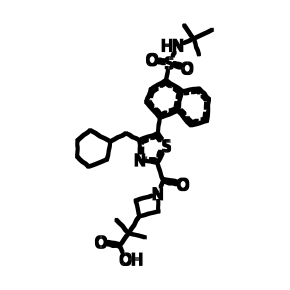 CC(C)(C)NS(=O)(=O)c1ccc(-c2sc(C(=O)N3CC(C(C)(C)C(=O)O)C3)nc2CC2CCCCC2)c2ccccc12